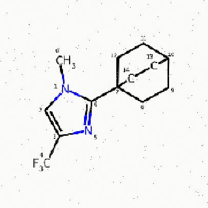 Cn1cc(C(F)(F)F)nc1C12CCC(CC1)CC2